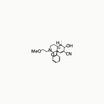 COCCN1CC[C@H]2[C@H](C)C(O)C(C#N)=C[C@]2(c2ccccc2)C1=O